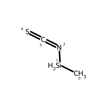 C[SiH2]N=C=S